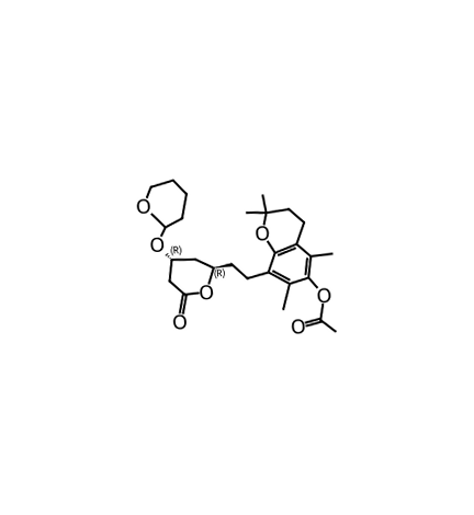 CC(=O)Oc1c(C)c(CC[C@@H]2C[C@@H](OC3CCCCO3)CC(=O)O2)c2c(c1C)CCC(C)(C)O2